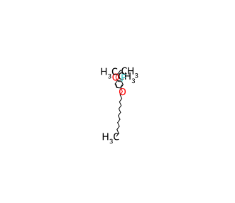 CCCCCCCCCCCCCOc1ccc(OC(C)(C)CC)c(F)c1